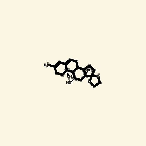 CC1=CC2=CCC3C([C@@H](O)C[C@@]4(C)C3CCC43OCCO3)[C@@]2(C)CC1